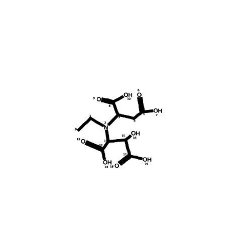 CCN(C(CC(=O)O)C(=O)O)C(C(=O)O)C(O)C(=O)O